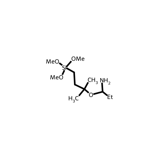 CCC(N)OC(C)(C)CC[Si](OC)(OC)OC